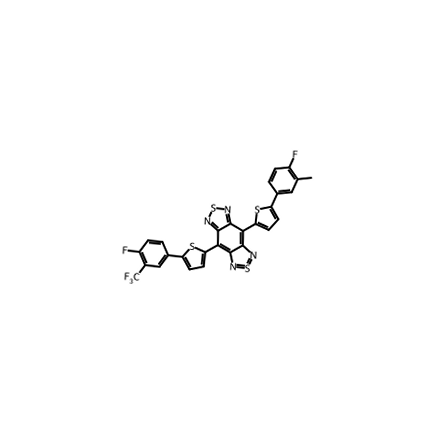 Cc1cc(-c2ccc(-c3c4c(c(-c5ccc(-c6ccc(F)c(C(F)(F)F)c6)s5)c5nsnc35)N=S=N4)s2)ccc1F